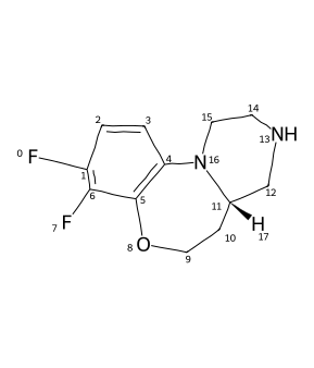 Fc1ccc2c(c1F)OCC[C@H]1CNCCN21